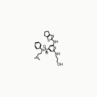 CN(C)CCN(c1ccccc1)S(=O)(=O)c1cc(NCCCO)nc(Nc2nc3c(s2)CCC3)c1